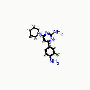 Nc1nc(-c2ccc(N)c(F)c2)cc(N2CCCCC2)n1